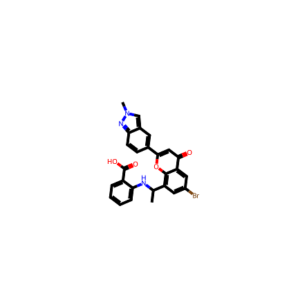 CC(Nc1ccccc1C(=O)O)c1cc(Br)cc2c(=O)cc(-c3ccc4nn(C)cc4c3)oc12